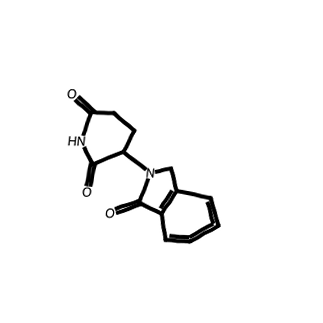 O=C1CCC(N2CC3=C(C=C=C=C3)C2=O)C(=O)N1